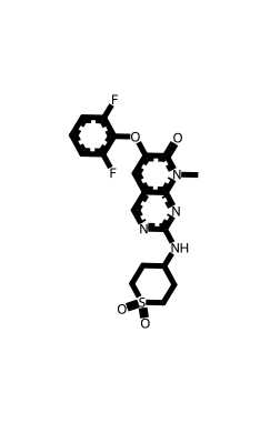 Cn1c(=O)c(Oc2c(F)cccc2F)cc2cnc(NC3CCS(=O)(=O)CC3)nc21